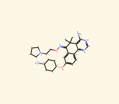 CC1(C)/C(=N/OCCN2CCCC2)c2cc(O[C@H]3CC[C@H](N)CC3)ccc2-c2ncnc(N)c21